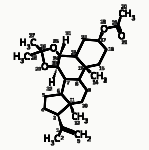 C=C(C)[C@H]1CCC2C3C(CC[C@@]21C)[C@@]1(C)CC[C@H](OC(C)=O)CC1[C@H]1OC(C)(C)O[C@H]31